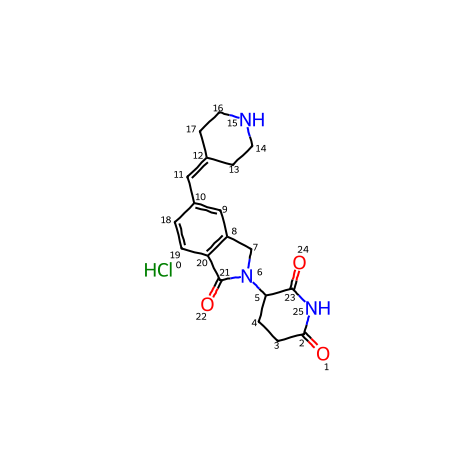 Cl.O=C1CCC(N2Cc3cc(C=C4CCNCC4)ccc3C2=O)C(=O)N1